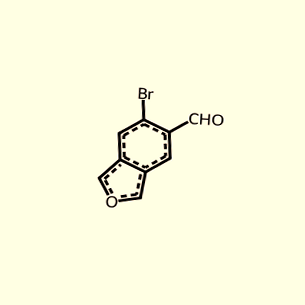 O=Cc1cc2cocc2cc1Br